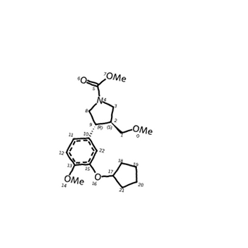 COC[C@@H]1CN(C(=O)OC)C[C@H]1c1ccc(OC)c(OC2CCCC2)c1